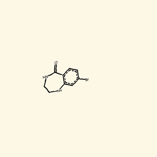 O=C1NCCNc2cc(Br)ccc21